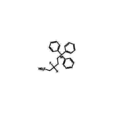 O=C(O)CC(F)(F)CC[PH](c1ccccc1)(c1ccccc1)c1ccccc1